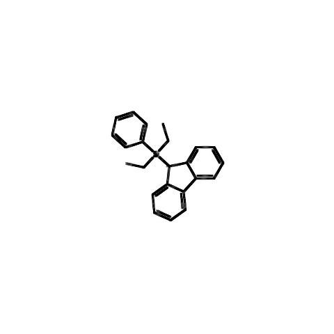 CC[Si](CC)([C]1c2ccccc2-c2ccccc21)c1ccccc1